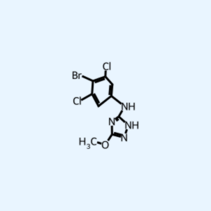 COc1n[nH]c(Nc2cc(Cl)c(Br)c(Cl)c2)n1